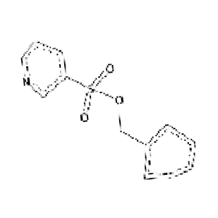 O=S(=O)(OCc1ccccc1)c1cccnc1